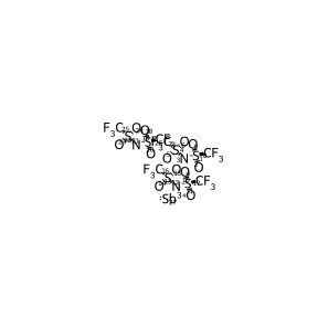 O=S(=O)([N-]S(=O)(=O)C(F)(F)F)C(F)(F)F.O=S(=O)([N-]S(=O)(=O)C(F)(F)F)C(F)(F)F.O=S(=O)([N-]S(=O)(=O)C(F)(F)F)C(F)(F)F.[Sb+3]